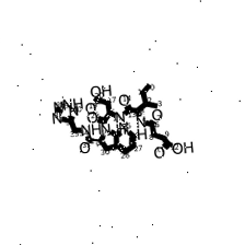 CCC(C)C(NC(=O)CCC(=O)O)C(=O)NC(CC(=O)O)C(=O)N1c2ncccc2C[C@H]1C(=O)NCc1nn[nH]n1